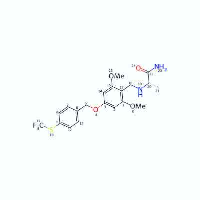 COc1cc(OCc2ccc(SC(F)(F)F)cc2)cc(OC)c1CN[C@@H](C)C(N)=O